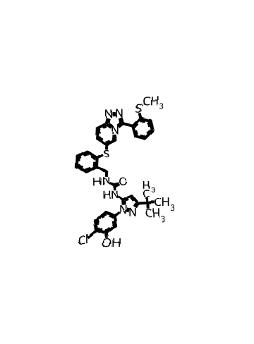 CSc1ccccc1-c1nnc2ccc(Sc3ccccc3CNC(=O)Nc3cc(C(C)(C)C)nn3-c3ccc(Cl)c(O)c3)cn12